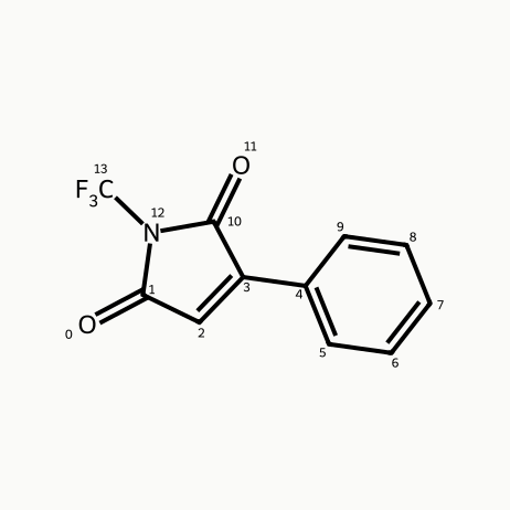 O=C1C=C(c2ccccc2)C(=O)N1C(F)(F)F